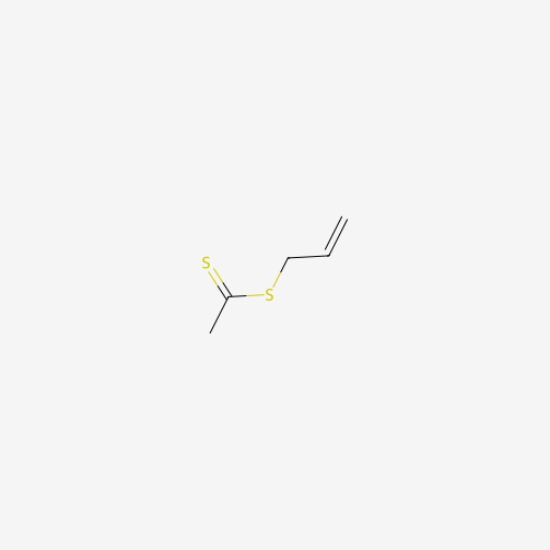 C=CCSC(C)=S